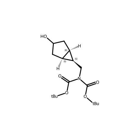 CC(C)(C)OC(=O)N(C[C@@H]1[C@@H]2CC(O)C[C@@H]21)C(=O)OC(C)(C)C